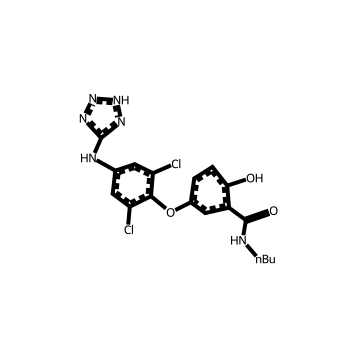 CCCCNC(=O)c1cc(Oc2c(Cl)cc(Nc3nn[nH]n3)cc2Cl)ccc1O